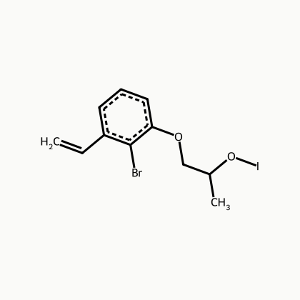 C=Cc1cccc(OCC(C)OI)c1Br